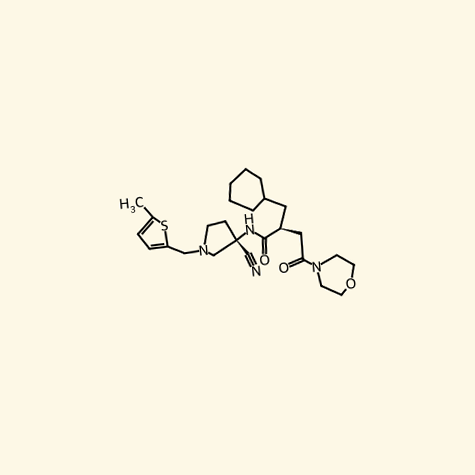 Cc1ccc(CN2CC[C@](C#N)(NC(=O)[C@H](CC(=O)N3CCOCC3)CC3CCCCC3)C2)s1